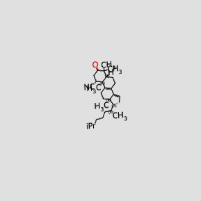 CC(C)CCC[C@@H](C)[C@H]1CC=C2C3=C(CC[C@@]21C)[C@@]1(C)C(C#N)CC(=O)C(C)(C)[C@@H]1CC3